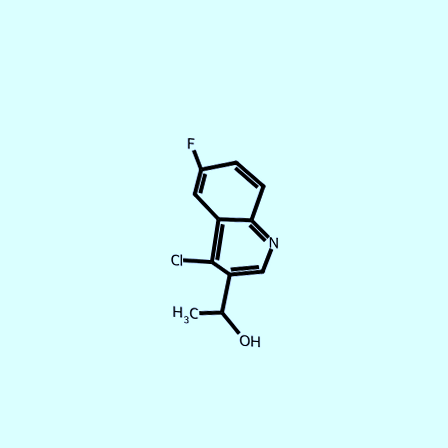 CC(O)c1cnc2ccc(F)cc2c1Cl